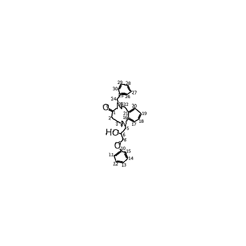 O=C1CCN(CC(O)COc2ccccc2)c2ccccc2CN1Cc1ccccc1